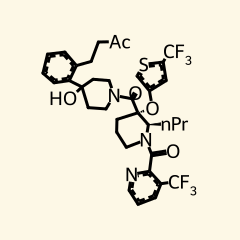 CCC[C@H]1N(C(=O)c2ncccc2C(F)(F)F)CCC[C@@]1(Oc1csc(C(F)(F)F)c1)C(=O)N1CCC(O)(c2ccccc2CCC(C)=O)CC1